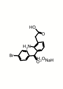 Nc1c(CC(=O)O)cccc1C(=O)c1ccc(Br)cc1.O.[NaH]